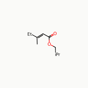 CCC(C)=CC(=O)OCC(C)C